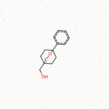 OCC12CCC(c3ccccc3)(CC1)OC2